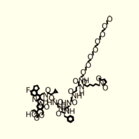 CC[C@@]1(O)C(=O)OCc2c1cc1n(c2=O)Cc2c-1nc1cc(F)c3c(c1c2CNC(=O)[C@@H](OCNC(=O)CNC(=O)[C@H](Cc1ccccc1)NC(=O)CNC(=O)CNC(=O)CC[C@H](NC(=O)CCCCCN1C(=O)C=CC1=O)C(=O)NCCOCCOCCOCCOCCOCCOCCOCCOC)C1CC1)CCC3